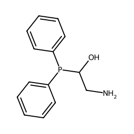 NCC(O)P(c1ccccc1)c1ccccc1